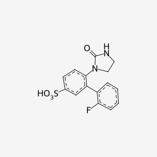 O=C1NCCN1c1ccc(S(=O)(=O)O)cc1-c1ccccc1F